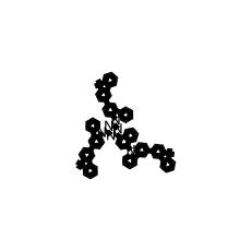 CC1(C)c2ccccc2-c2cc(-c3ccc4c(c3)c3ccccc3n4-c3nc(-c4ccc(-n5c6ccccc6c6cc(-c7ccc8c(c7)-c7ccccc7C8(C)C)ccc65)c5ccccc45)nc(-n4c5ccccc5c5cc(-c6ccc7c(c6)-c6ccccc6C7(C)C)ccc54)n3)ccc21